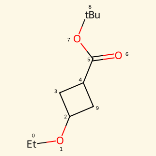 CCOC1CC(C(=O)OC(C)(C)C)C1